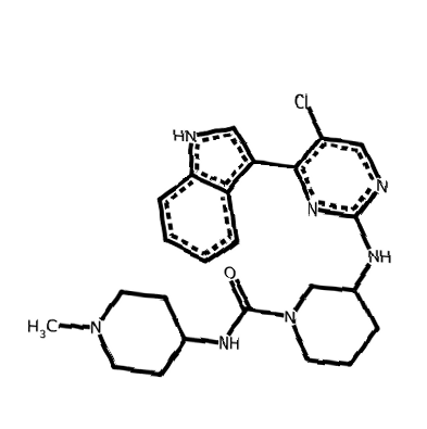 CN1CCC(NC(=O)N2CCCC(Nc3ncc(Cl)c(-c4c[nH]c5ccccc45)n3)C2)CC1